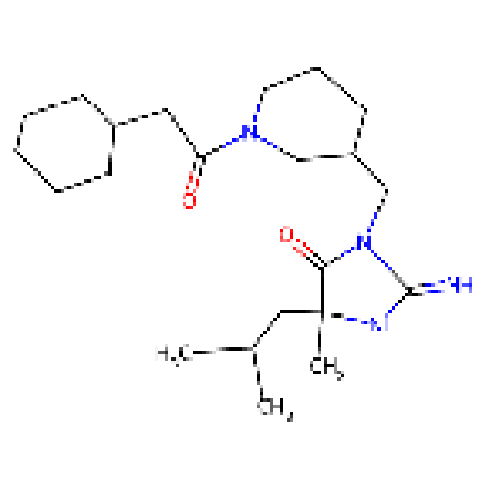 CC(C)CC1(C)NC(=N)N(CC2CCCN(C(=O)CC3CCCCC3)C2)C1=O